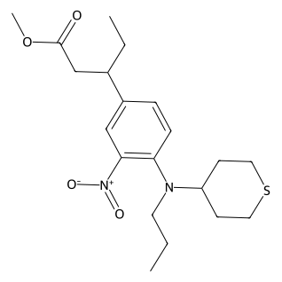 CCCN(c1ccc(C(CC)CC(=O)OC)cc1[N+](=O)[O-])C1CCSCC1